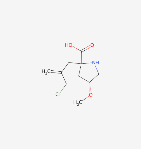 C=C(CCl)CC1(C(=O)O)C[C@@H](OC)CN1